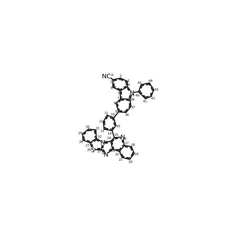 N#Cc1ccc2c(c1)c1cc(-c3cccc(-c4nc5ccccc5c5nc6sc7ccccc7n6c45)c3)ccc1n2-c1ccccc1